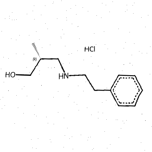 C[C@@H](CO)CNCCc1ccccc1.Cl